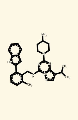 Cc1cccc(-c2cc3ccccc3[nH]2)c1CNc1nc(N2CCC(N)CC2)nc2c(C(C)C)cnn12